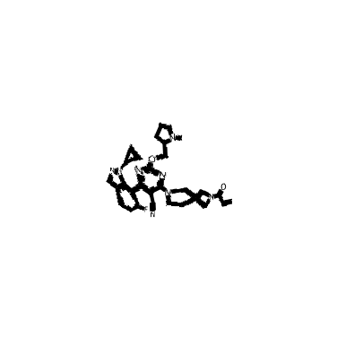 C=CC(=O)N1CC2(CCN(c3nc(OCC4CCCN4C)nc(-c4c(F)ccc5cnn(C6CC6)c45)c3C#N)C2)C1